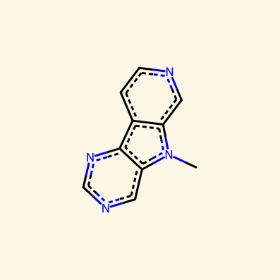 Cn1c2cnccc2c2ncncc21